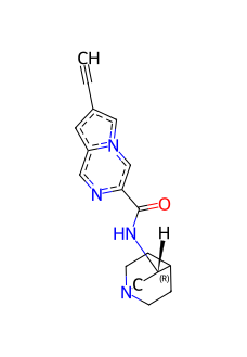 C#Cc1cc2cnc(C(=O)N[C@H]3CN4CCC3CC4)cn2c1